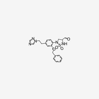 O=CC1CN(c2ccc(CCn3cncn3)cc2OCc2ccccc2)S(=O)(=O)N1